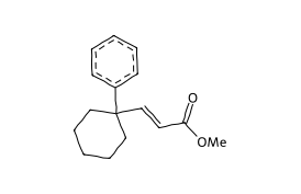 COC(=O)C=CC1(c2ccccc2)CCCCC1